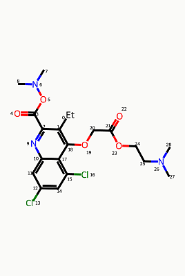 CCc1c(C(=O)ON(C)C)nc2cc(Cl)cc(Cl)c2c1OCC(=O)OCCN(C)C